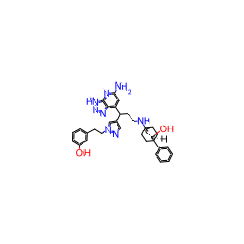 Nc1cc(C(CCNC23CCC(c4ccccc4)(CC2)[C@H](O)C3)c2cnn(CCc3cccc(O)c3)c2)c2nn[nH]c2n1